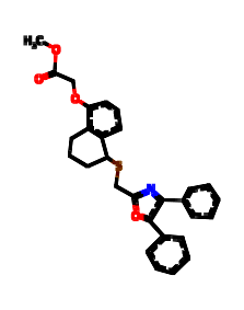 COC(=O)COc1cccc2c1CCCC2SCc1nc(-c2ccccc2)c(-c2ccccc2)o1